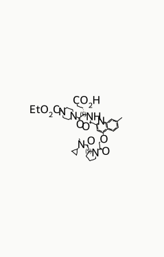 CCOC(=O)N1CCN(C(=O)[C@H](CCC(=O)O)NC(=O)c2cc(OCC(=O)N3CCC[C@H]3C(=O)N(C)C3CC3)c3ccc(C)cc3n2)CC1